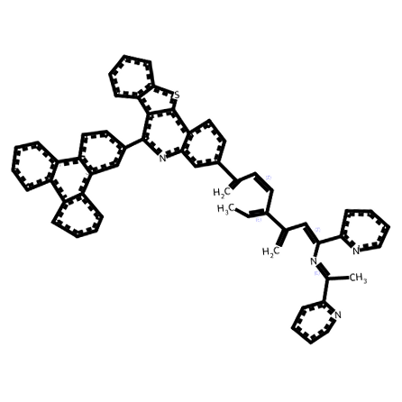 C=C(/C=C(\N=C(/C)c1ccccn1)c1ccccn1)C(/C=C\C(=C)c1ccc2c(c1)nc(-c1ccc3c4ccccc4c4ccccc4c3c1)c1c3ccccc3sc21)=C/C